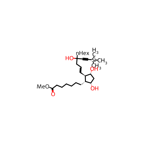 CCCCCCC(O)(C#C[Si](C)(C)C)CC=C[C@@H]1[C@@H](CCCCCCC(=O)OC)[C@@H](O)C[C@H]1O